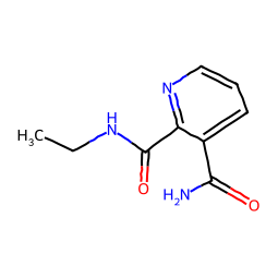 CCNC(=O)c1ncccc1C(N)=O